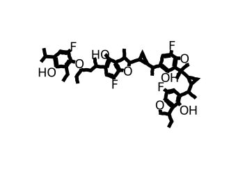 CCc1c(O)c(C(C)C)cc(F)c1OC(CC)CC(C)c1cc(F)c2c(c1O)C(C)C(C1CC1C(C)c1cc(F)c3c(c1O)C(C)(C1CC1C(C)c1cc(F)c4c(c1O)C(CC)CO4)CO3)O2